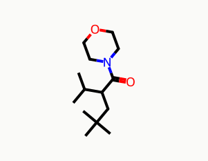 CC(C)C(CC(C)(C)C)C(=O)N1CCOCC1